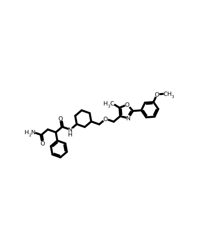 COc1cccc(-c2nc(COCC3CCCC(NC(=O)C(CC(N)=O)c4ccccc4)C3)c(C)o2)c1